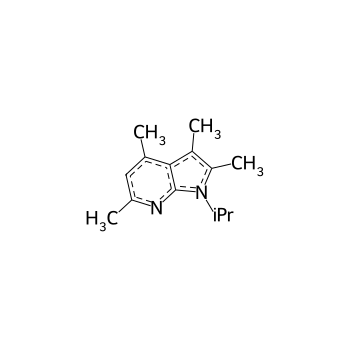 Cc1cc(C)c2c(C)c(C)n(C(C)C)c2n1